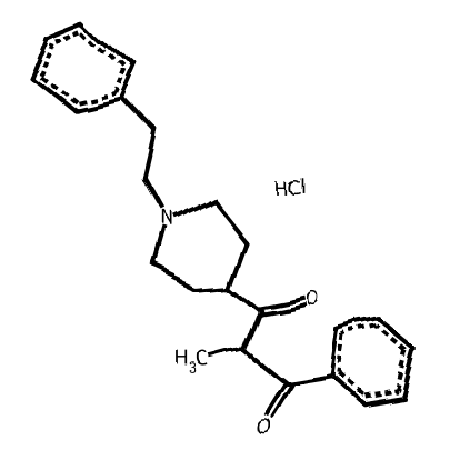 CC(C(=O)c1ccccc1)C(=O)C1CCN(CCc2ccccc2)CC1.Cl